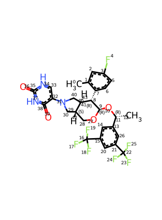 Cc1cc(F)ccc1[C@@H]1[C@@H](O[C@H](C)c2cc(C(F)(F)F)cc(C(F)(F)F)c2)OC[C@@H]2CN(c3c[nH]c(=O)[nH]c3=O)C[C@H]21